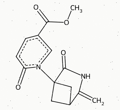 C=C1NC(=O)C2(n3cc(C(=O)OC)ccc3=O)CC1C2